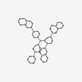 c1ccc(-c2ccc(N(c3ccc(-c4ccc5ccccc5c4)cc3)c3cc(-c4ccc5ccccc5c4)ccc3-c3ccc4ccccc4c3)cc2)cc1